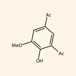 COc1cc(C(C)=O)cc(C(C)=O)c1O